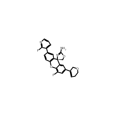 NC1=N[C@@]2(CO1)c1cc(-c3cccnc3F)ccc1Oc1c(F)cc(C3=CCCOC3)cc12